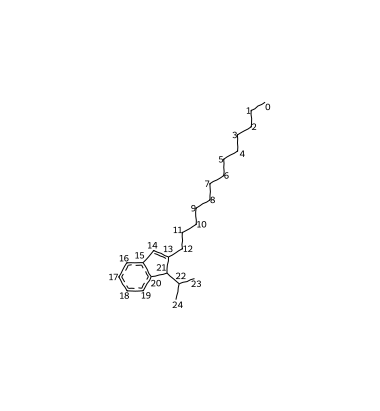 CCCCCCCCCCCCCC1=Cc2ccccc2C1C(C)C